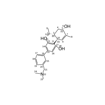 C=C(C)[C@@H]1C[C@H](O)C(C)=C[C@H]1c1c(O)cc(-c2cccc(CN(C)C)c2)cc1O